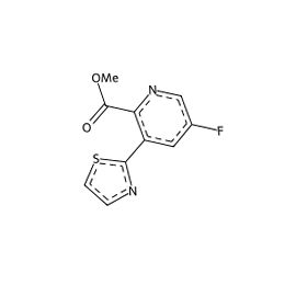 COC(=O)c1ncc(F)cc1-c1nccs1